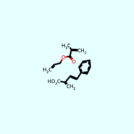 C=C(C=Cc1ccccc1)C(=O)O.C=CCOC(=O)C(=C)C